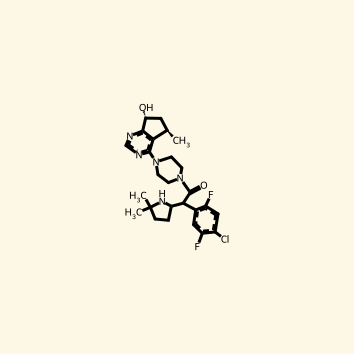 C[C@@H]1C[C@@H](O)c2ncnc(N3CCN(C(=O)C(c4cc(F)c(Cl)cc4F)C4CCC(C)(C)N4)CC3)c21